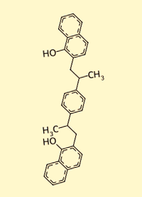 CC(Cc1ccc2ccccc2c1O)c1ccc(C(C)Cc2ccc3ccccc3c2O)cc1